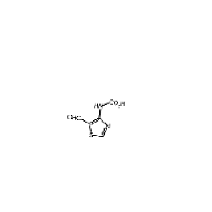 O=Cc1scnc1NC(=O)O